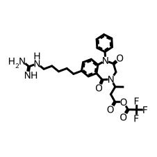 CC(CC(=O)OC(=O)C(F)(F)F)N1CC(=O)N(c2ccccc2)c2ccc(CCCCCNC(=N)N)cc2C1=O